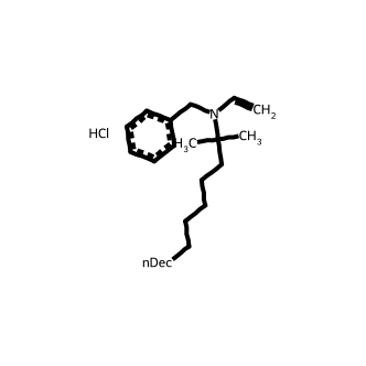 C=CN(Cc1ccccc1)C(C)(C)CCCCCCCCCCCCCCC.Cl